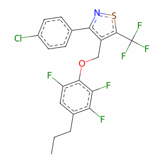 CCCc1cc(F)c(OCc2c(-c3ccc(Cl)cc3)nsc2C(F)(F)F)c(F)c1F